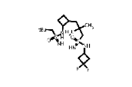 CC(C)(C)CS(=N)(=O)NC1CCC1CC(C)(C)CS(=N)(=O)NC1CC(F)(F)C1